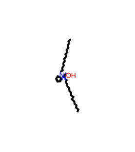 CCCCCCCCCCCCCCCCn1c(CO)[n+](CCCCCCCCCCCCCCCC)c2ccccc21